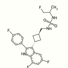 CC(CF)NS(=O)(=O)NC[C@H]1C[C@H](c2c(-c3ccc(F)cc3)[nH]c3c(F)cc(F)cc32)C1